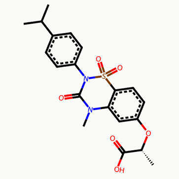 CC(C)c1ccc(N2C(=O)N(C)c3cc(O[C@H](C)C(=O)O)ccc3S2(=O)=O)cc1